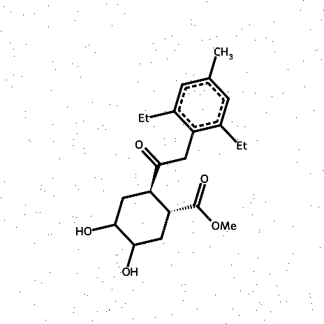 CCc1cc(C)cc(CC)c1CC(=O)[C@@H]1CC(O)C(O)C[C@H]1C(=O)OC